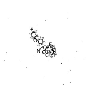 N#CC(OC(=O)C1C(Cl)(C(F)(F)F)C1(Cl)C(F)(F)F)c1cccc(Oc2ccc(F)cc2)c1